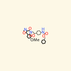 COc1ccc2c3ocnc3c(=O)n(CC(O)C3CCC(NC(=O)OCc4ccccc4)CC3)c2c1